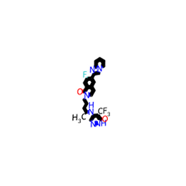 C[C@@H](CCCn1ccc2cc(-c3cn4ccccc4n3)c(F)cc2c1=O)Nc1cn[nH]c(=O)c1C(F)(F)F